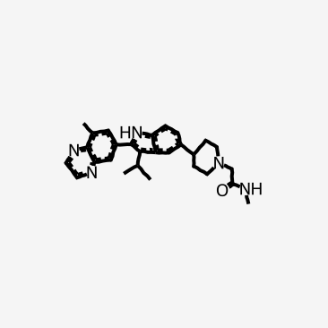 CNC(=O)CN1CCC(c2ccc3[nH]c(-c4cc(C)c5nccnc5c4)c(C(C)C)c3c2)CC1